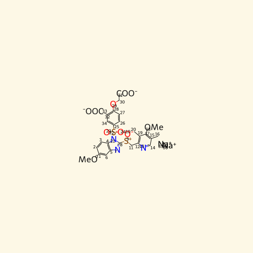 COc1ccc2c(c1)nc([S+]([O-])Cc1ncc(C)c(OC)c1C)n2S(=O)(=O)c1ccc(OCC(=O)[O-])c(C(=O)[O-])c1.[Na+].[Na+]